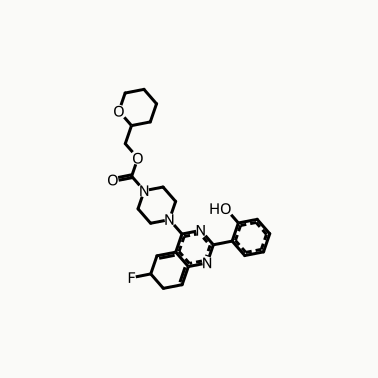 O=C(OCC1CCCCO1)N1CCN(c2nc(-c3ccccc3O)nc3c2=CC(F)CC=3)CC1